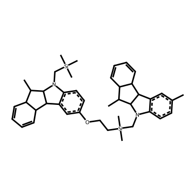 Cc1ccc2c(c1)C1C3C=CC=CC3C(C)C1N2C[Si](C)(C)CCOc1ccc2c(c1)C1C3C=CC=CC3C(C)C1N2C[Si](C)(C)C